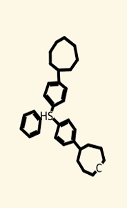 c1ccc([SH](c2ccc(C3CCCCCCC3)cc2)c2ccc(C3CCCCCCC3)cc2)cc1